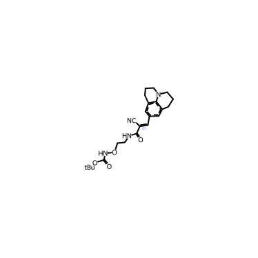 CC(C)(C)OC(=O)NOCCNC(=O)/C(C#N)=C/c1cc2c3c(c1)CCCN3CCC2